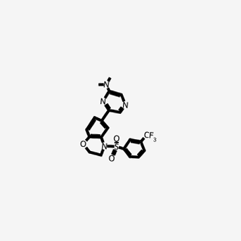 CN(C)c1cncc(-c2ccc3c(c2)N(S(=O)(=O)c2cccc(C(F)(F)F)c2)CCO3)n1